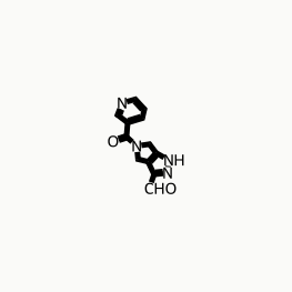 O=Cc1n[nH]c2c1CN(C(=O)c1cccnc1)C2